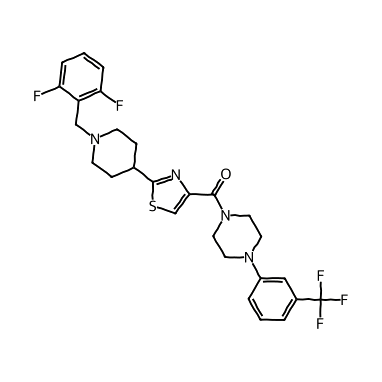 O=C(c1csc(C2CCN(Cc3c(F)cccc3F)CC2)n1)N1CCN(c2cccc(C(F)(F)F)c2)CC1